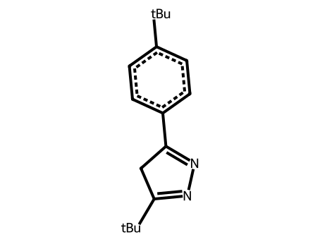 CC(C)(C)C1=NN=C(c2ccc(C(C)(C)C)cc2)C1